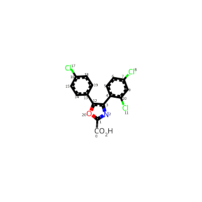 O=C(O)c1nc(-c2ccc(Cl)cc2Cl)c(-c2ccc(Cl)cc2)o1